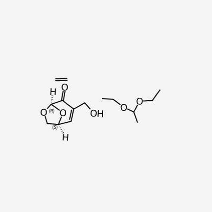 C=C.CCOC(C)OCC.O=C1C(CO)=C[C@H]2CO[C@@H]1O2